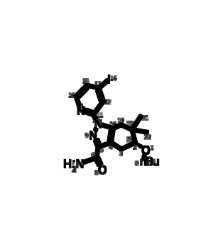 CCCCO[C@H]1Cc2c(C(N)=O)nn(-c3cc(I)ccn3)c2CC1(C)C